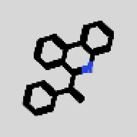 C=C(c1ccccc1)c1nc2ccccc2c2ccccc12